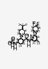 CC(C)=C1CCN(c2cc(N[SH](=O)=O)ccc2C(=O)Nc2cc(C)cc(N3CCC(F)(F)CC3)n2)CC1